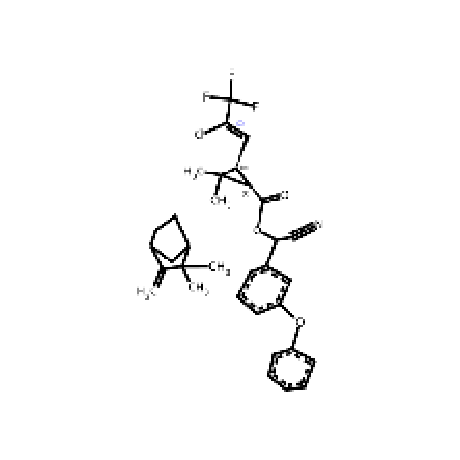 C=C1C2CCC(C2)C1(C)C.CC1(C)[C@H](C(=O)OC(C#N)c2cccc(Oc3ccccc3)c2)[C@@H]1/C=C(\Cl)C(F)(F)F